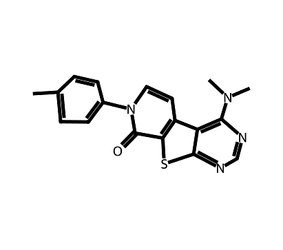 Cc1ccc(-n2ccc3c(sc4ncnc(N(C)C)c43)c2=O)cc1